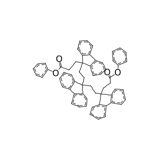 O=C(CCC1(CCC2(CCC3(CCC(=O)Oc4ccccc4)c4ccccc4-c4ccccc43)c3ccccc3-c3ccccc32)c2ccccc2-c2ccccc21)Oc1ccccc1